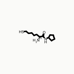 N[C@@H](CCCCCS)C(=O)NC1CCCC1